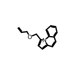 C=CCOCc1ccc2ccc3ccccc3n12